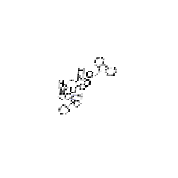 C/C(=C\C(=O)c1ccccc1)OC(=O)C(Cc1cn(C(=O)O)cn1)NC(=O)OCC1c2ccccc2-c2ccccc21